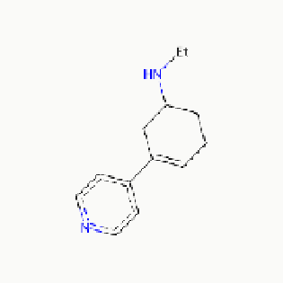 CCNC1CCC=C(c2ccncc2)C1